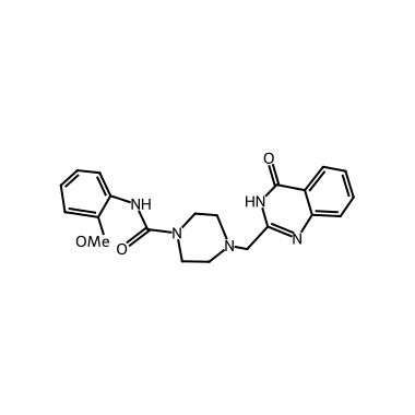 COc1ccccc1NC(=O)N1CCN(Cc2nc3ccccc3c(=O)[nH]2)CC1